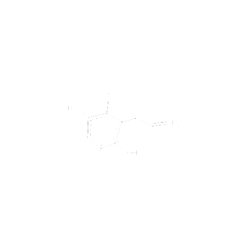 C=CCc1c(O)ccc(C)c1F